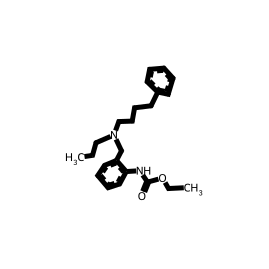 CCCN(CCCCc1ccccc1)Cc1ccccc1NC(=O)OCC